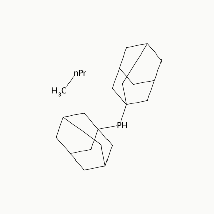 C1C2CC3CC1CC(PC14CC5CC(CC(C5)C1)C4)(C2)C3.CCCC